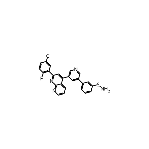 NSc1cccc(-c2cncc(-c3cc(-c4cc(Cl)ccc4F)nc4ncccc34)c2)c1